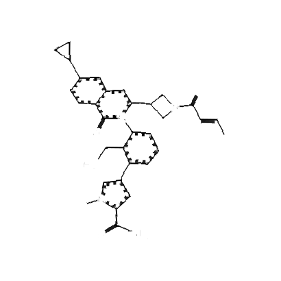 C/C=C/C(=O)N1CC(c2cc3cc(C4CC4)ccc3c(=O)n2-c2cccc(-c3cc(C(N)=O)n(C)c3)c2CO)C1